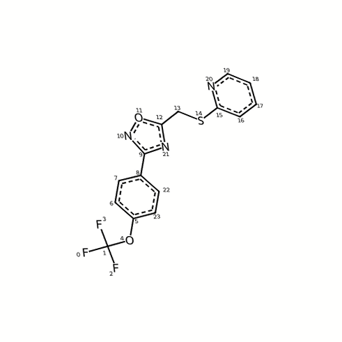 FC(F)(F)Oc1ccc(-c2noc(CSc3ccccn3)n2)cc1